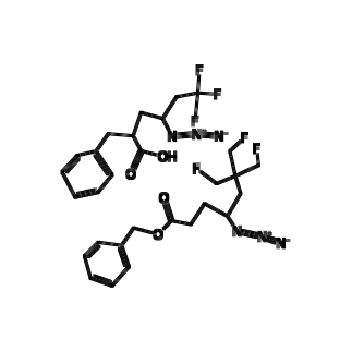 [N-]=[N+]=NC(CC(Cc1ccccc1)C(=O)O)CC(F)(F)F.[N-]=[N+]=NC(CCC(=O)OCc1ccccc1)CC(CF)(CF)CF